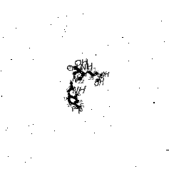 N[C@]1(C(=O)O)CN(CC2Cc3ccc(C(F)(F)F)cc3CN2)C[C@@H]1CCCB(O)O